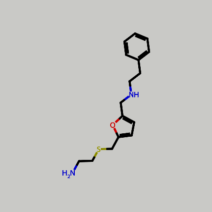 NCCSCc1ccc(CNCCc2ccccc2)o1